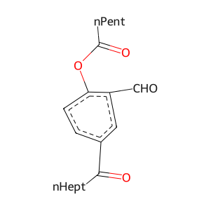 CCCCCCCC(=O)c1ccc(OC(=O)CCCCC)c(C=O)c1